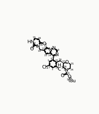 Cc1cc(Cl)cc(-c2ncnn3cc(Cn4c(=O)cc[nH]c4=O)cc23)c1C[C@@H]1CN(C(=O)OC(C)(C)C)CCO1